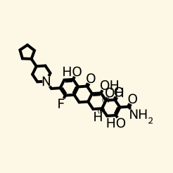 NC(=O)C1=C(O)C[C@@H]2CC3Cc4c(F)c(CN5CCC(C6CCCC6)CC5)cc(O)c4C(=O)C3=C(O)[C@]2(O)C1=O